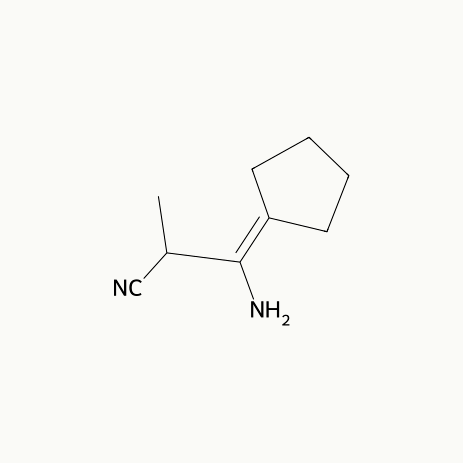 CC(C#N)C(N)=C1CCCC1